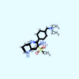 CN(C)CC1CCC(C2=NC3=CC=CNC3=CC2(N)S(C)(=O)=O)CC1